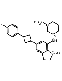 O=C(O)N1CCC[C@@H](Nc2cc(N3CC(c4ccc(F)cc4)C3)nc3c2[S@+]([O-])CC3)C1